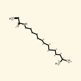 C=CC(=O)NCCCCCCCCCCCCC(C)C